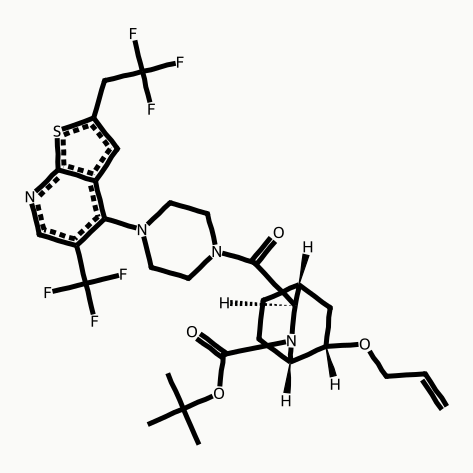 C=CCO[C@H]1C[C@H]2CC[C@@H]1N(C(=O)OC(C)(C)C)[C@H]2C(=O)N1CCN(c2c(C(F)(F)F)cnc3sc(CC(F)(F)F)cc23)CC1